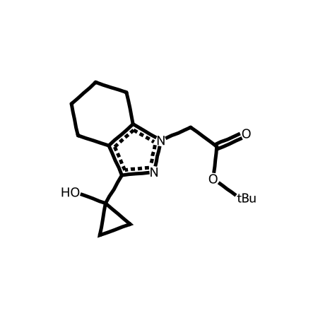 CC(C)(C)OC(=O)Cn1nc(C2(O)CC2)c2c1CCCC2